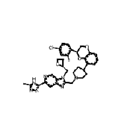 Cc1nnc(-c2cc3nc(CN4CCC(c5cccc6c5OC(c5ccc(Cl)cc5F)CO6)CC4)n(C[C@@H]4CCO4)c3cn2)[nH]1